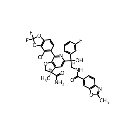 Cc1nc2ccc(C(=O)NC[C@@](O)(c3cccc(F)c3)c3cc4c(c(-c5ccc6c(c5Cl)OC(F)(F)O6)n3)OC[C@]4(C)C(N)=O)cc2o1